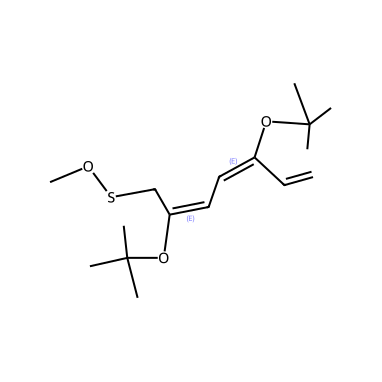 C=C/C(=C\C=C(/CSOC)OC(C)(C)C)OC(C)(C)C